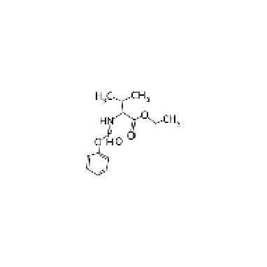 CCOC(=O)C(N[PH](=O)Oc1ccccc1)C(C)C